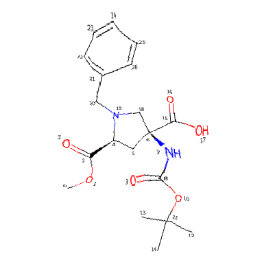 COC(=O)[C@@H]1C[C@@](NC(=O)OC(C)(C)C)(C(=O)O)CN1Cc1ccccc1